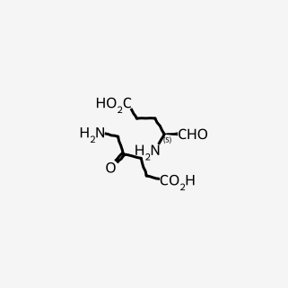 NCC(=O)CCC(=O)O.N[C@H](C=O)CCC(=O)O